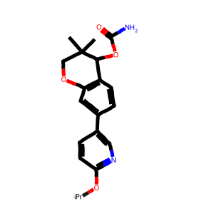 CC(C)Oc1ccc(-c2ccc3c(c2)OCC(C)(C)C3OC(N)=O)cn1